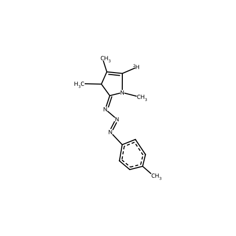 [2H]C1=C(C)C(C)C(=NN=Nc2ccc(C)cc2)N1C